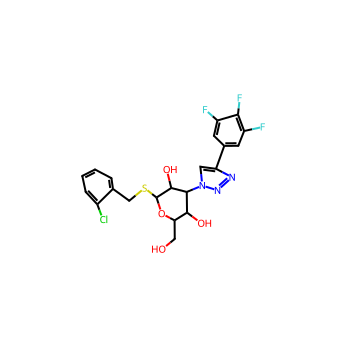 OCC1OC(SCc2ccccc2Cl)C(O)C(n2cc(-c3cc(F)c(F)c(F)c3)nn2)C1O